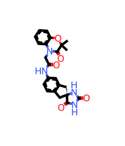 CC1(C)Oc2ccccc2N(CC(=O)Nc2ccc3c(c2)C[C@]2(C3)NC(=O)NC2=O)C1=O